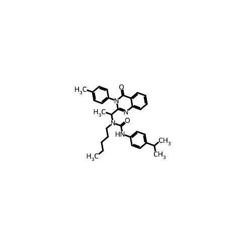 CCCCCN(C(=O)Nc1ccc(C(C)C)cc1)C(C)c1nc2ccccc2c(=O)n1-c1ccc(C)cc1